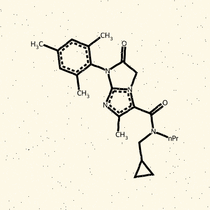 CCCN(CC1CC1)C(=O)c1c(C)nc2n1CC(=O)N2c1c(C)cc(C)cc1C